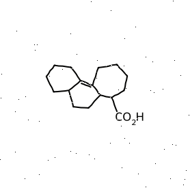 O=C(O)C1CCCCC2=C3CCCCC3CCC21